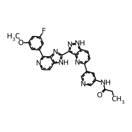 CCC(=O)Nc1cncc(-c2ccc3[nH]nc(-c4nc5c(-c6cc(F)cc(OC)c6)nccc5[nH]4)c3n2)c1